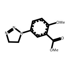 COC(=O)c1cc(N2CCN=N2)ccc1OC